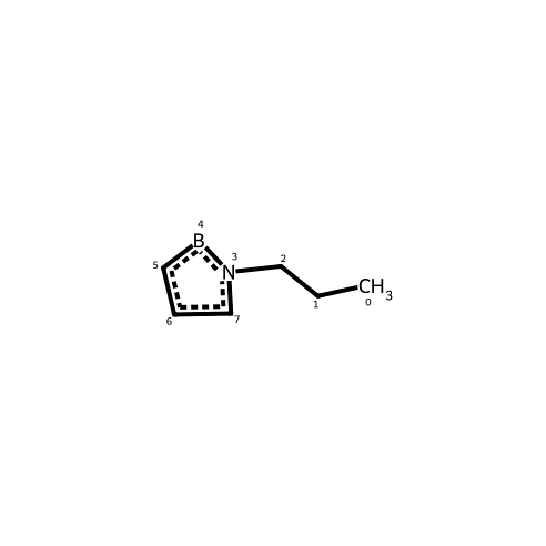 CCCn1bccc1